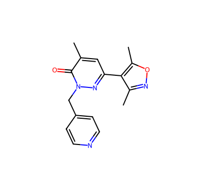 Cc1noc(C)c1-c1cc(C)c(=O)n(Cc2ccncc2)n1